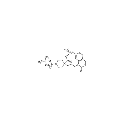 CCOC(=O)C1(CCCn2c(=O)ccc3ccc(C)cc32)CCN(C(=O)OC(C)(C)C)CC1